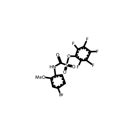 COc1cc(Br)ccc1NC(=O)S(=O)(=O)Oc1c(F)c(F)c(F)c(F)c1F